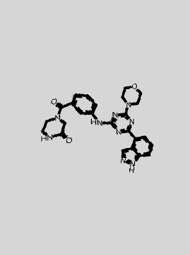 O=C1CN(C(=O)c2cccc(Nc3nc(-c4cccc5[nH]ncc45)nc(N4CCOCC4)n3)c2)CCN1